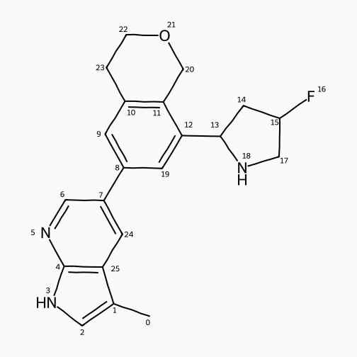 Cc1c[nH]c2ncc(-c3cc4c(c(C5CC(F)CN5)c3)COCC4)cc12